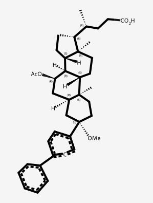 CO[C@@]1(c2ccc(-c3ccccc3)cc2)CC[C@@]2(C)[C@H](C[C@@H](OC(C)=O)[C@@H]3[C@@H]2CC[C@]2(C)[C@@H]([C@H](C)CCC(=O)O)CC[C@@H]32)C1